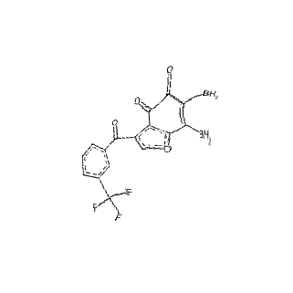 BC1=C(B)c2occ(C(=O)c3cccc(C(F)(F)F)c3)c2C(=O)C1=O